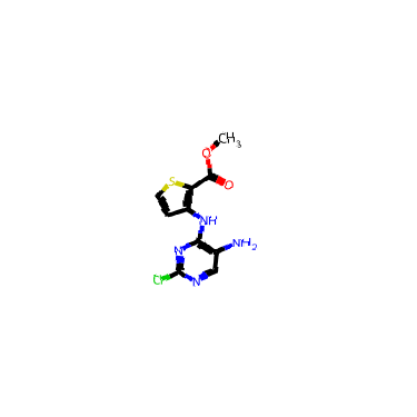 COC(=O)c1sccc1Nc1nc(Cl)ncc1N